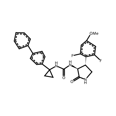 COc1cc(F)c([C@@H]2CNC(=O)[C@H]2NC(=O)NC2(c3ccc(-c4ccccc4)cc3)CC2)c(F)c1